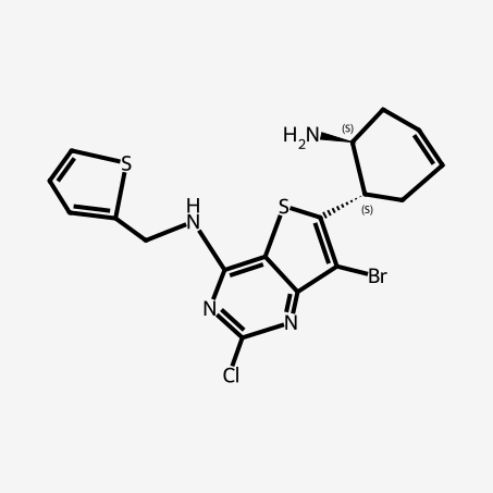 N[C@H]1CC=CC[C@@H]1c1sc2c(NCc3cccs3)nc(Cl)nc2c1Br